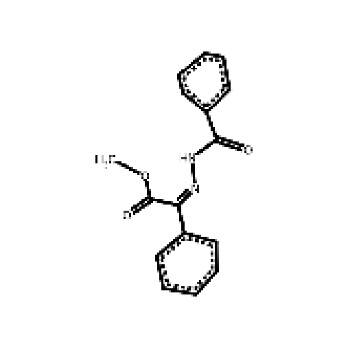 COC(=O)C(=NNC(=O)c1ccccc1)c1ccccc1